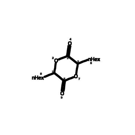 CCCCCCC1OC(=O)C(CCCCCC)OC1=O